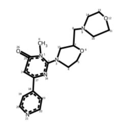 Cn1c(N2CCOC(CN3CCOCC3)C2)nc(-c2ccncc2)cc1=O